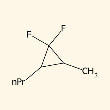 CCCC1C(C)C1(F)F